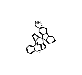 NCc1ccc2c(c1)C1(c3ccccc3-2)c2ccccc2N2c3ccccc3Oc3cccc1c32